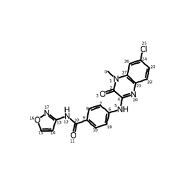 Cn1c(=O)c(Nc2ccc(C(=O)Nc3ccon3)cc2)nc2ccc(Cl)cc21